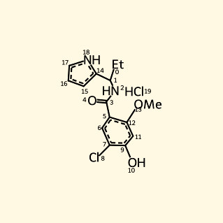 CCC(NC(=O)c1cc(Cl)c(O)cc1OC)c1ccc[nH]1.Cl